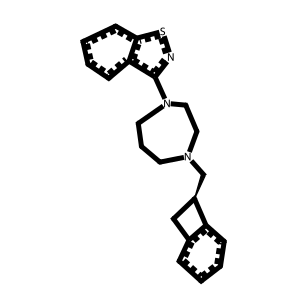 c1ccc2c(c1)C[C@H]2CN1CCCN(c2nsc3ccccc23)CC1